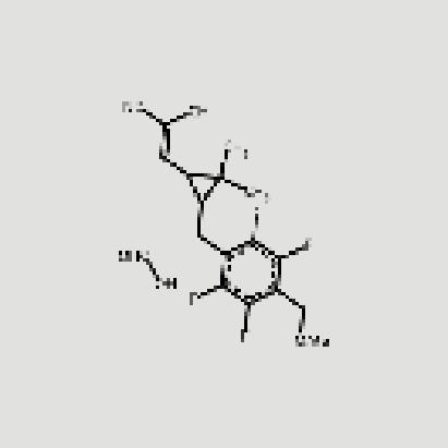 COCc1c(F)c(F)c(CC2C(C=C(C)C#N)C2(C)C)c(F)c1F.O=CO